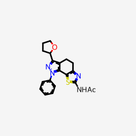 CC(=O)Nc1nc2c(s1)-c1c(c(C3CCCO3)nn1-c1ccccc1)CC2